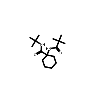 CC(C)(C)NC(=O)C1(NC(=O)C(C)(C)C)CCCCC1